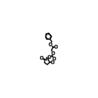 O=C(COC(=O)ON1C(=O)CCC1=O)OCc1ccccc1